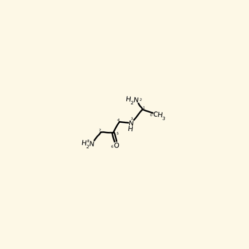 CC(N)NCC(=O)CN